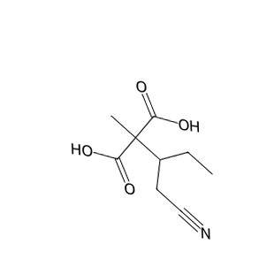 CCC(CC#N)C(C)(C(=O)O)C(=O)O